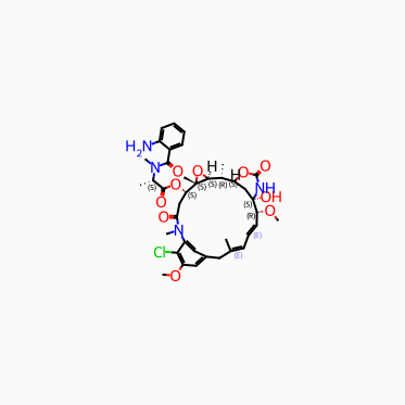 COc1cc2cc(c1Cl)N(C)C(=O)C[C@H](OC(=O)[C@H](C)N(C)C(=O)c1ccccc1N)[C@]1(C)O[C@H]1[C@H](C)[C@@H]1C[C@@](O)(NC(=O)O1)[C@H](OC)/C=C/C=C(\C)C2